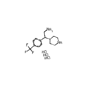 Cl.Cl.Cl.NCC(c1ccc(C(F)(F)F)cc1)C1CCNCC1